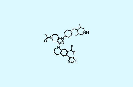 CC(=O)N1CCc2c(c(N3CCCc4cc(-c5cncs5)c(C(F)F)cc43)nn2C2CCN(CC3C(C)CNCC3C)CC2)C1